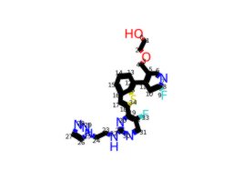 OCCOCc1cnc(F)cc1-c1cccc2cc(-c3nc(NCCn4ccnn4)ncc3F)sc12